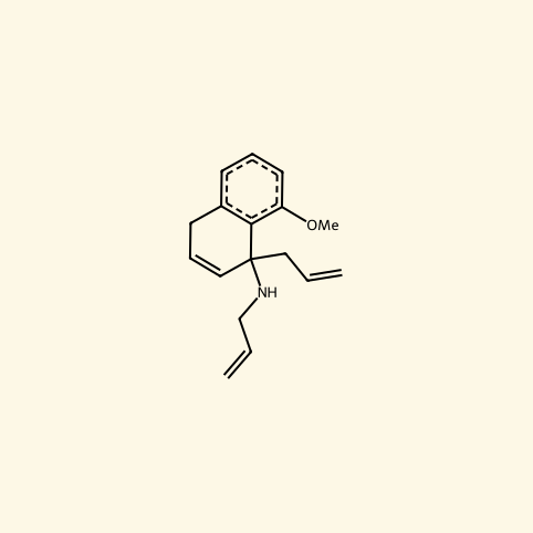 C=CCNC1(CC=C)C=CCc2cccc(OC)c21